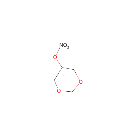 O=[N+]([O-])OC1COCOC1